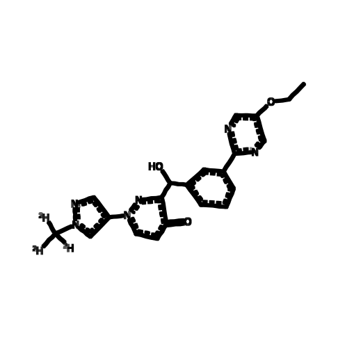 [2H]C([2H])([2H])n1cc(-n2ccc(=O)c(C(O)c3cccc(-c4ncc(OCC)cn4)c3)n2)cn1